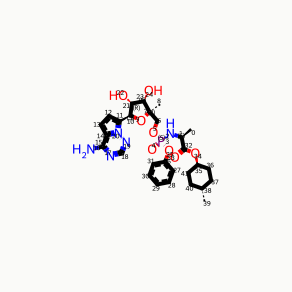 C[C@H](N[P@](=O)(OC[C@@]1(C)O[C@@H](c2ccc3c(N)ncnn23)[C@H](O)[C@@H]1O)Oc1ccccc1)C(=O)O[C@H]1CC[C@H](C)CC1